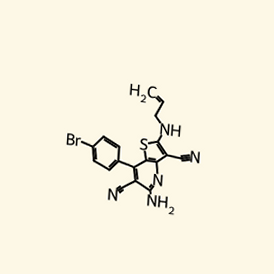 C=CCNc1sc2c(-c3ccc(Br)cc3)c(C#N)c(N)nc2c1C#N